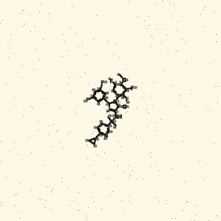 COc1c(F)cc(N2C(=O)C(NC(C)(C)c3ccc(C4CC4)nc3)=CC2c2cc(F)cc(F)c2)c(F)c1F